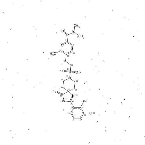 Cc1cc(C(=O)N(C)C)ccc1CCS(=O)(=O)N1CCC2(CC1)N=C(c1cccc(Cl)c1F)NC2=O